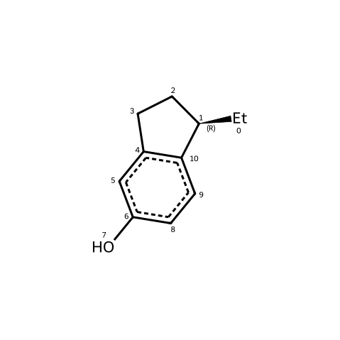 CC[C@@H]1CCc2cc(O)ccc21